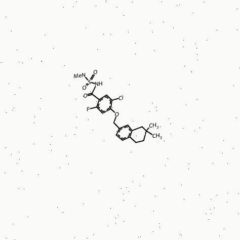 CNS(=O)(=O)NC(=O)c1cc(Cl)c(OCc2ccc3c(c2)CC(C)(C)CC3)cc1F